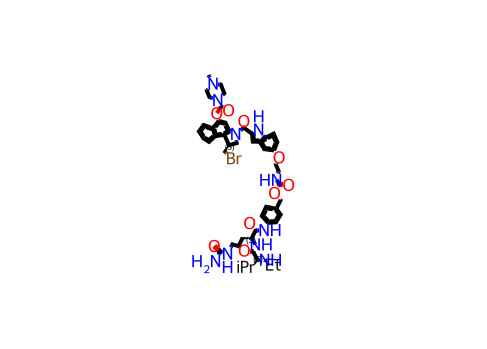 CCN[C@H](C(=O)N[C@@H](CCCNC(N)=O)C(=O)Nc1ccc(COC(=O)NCCOc2ccc3[nH]c(C(=O)N4C[C@@H](CBr)c5c4cc(OC(=O)N4CCN(C)CC4)c4ccccc54)cc3c2)cc1)C(C)C